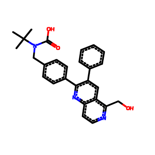 CC(C)(C)N(Cc1ccc(-c2nc3ccnc(CO)c3cc2-c2ccccc2)cc1)C(=O)O